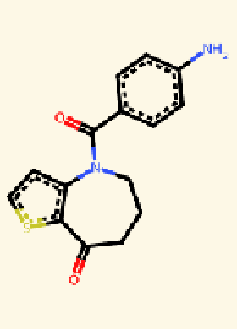 Nc1ccc(C(=O)N2CCCC(=O)c3sccc32)cc1